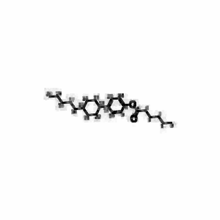 CCCCCC(=O)Oc1ccc(C2CCC(CCCCC)CC2)cc1